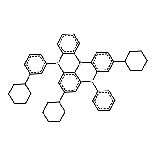 c1ccc(N2c3cc(C4CCCCC4)ccc3B3c4ccccc4N(c4cccc(C5CCCCC5)c4)c4cc(C5CCCCC5)cc2c43)cc1